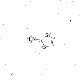 N[C]1SC=CS1